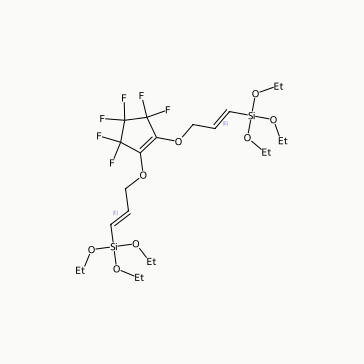 CCO[Si](/C=C/COC1=C(OC/C=C/[Si](OCC)(OCC)OCC)C(F)(F)C(F)(F)C1(F)F)(OCC)OCC